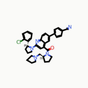 N#Cc1ccc(-c2ccc3nc(N4CCC[C@@H]4c4ccccc4Cl)cc(C(=O)N4CCC[C@H]4CN4CCCC4)c3c2)cc1